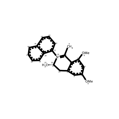 COc1cc2c(c(OC)c1)C(C)=[N+](c1cccc3ccccc13)[C@@H](C)C2